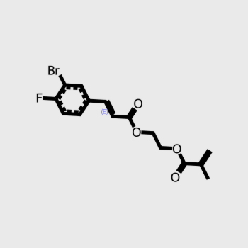 C=C(C)C(=O)OCCOC(=O)/C=C/c1ccc(F)c(Br)c1